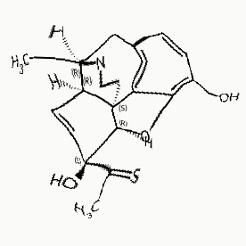 CC(=S)[C@]1(O)C=C[C@H]2[C@H]3Cc4ccc(O)c5c4[C@@]2(CCN3C)[C@H]1O5